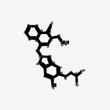 N#Cc1cc2nn(Cc3nn(CC(=O)O)c(=O)c4ccccc34)cc2cc1OCC(F)F